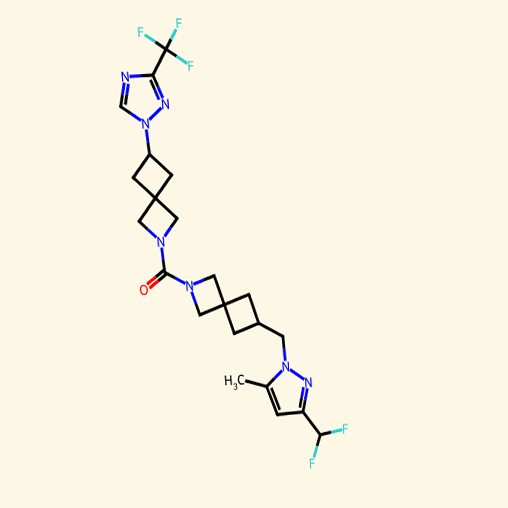 Cc1cc(C(F)F)nn1CC1CC2(C1)CN(C(=O)N1CC3(CC(n4cnc(C(F)(F)F)n4)C3)C1)C2